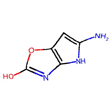 Nc1cc2oc(O)nc2[nH]1